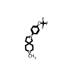 CN1CCC2(CC1)CCN(c1ccc(OC(F)(F)F)cc1)C2